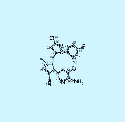 CN1N=C(C#N)C2c3cnc(N)c(c3)OCc3cc(F)ccc3-n3nc(Cl)cc3CC21